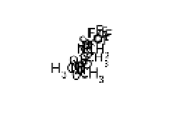 [CH2]n1c(-c2ccc(C(F)(F)F)c(F)c2F)csc1=NC(=O)Cc1c(C)oc2c1c(=O)n(C)c(=O)n2C